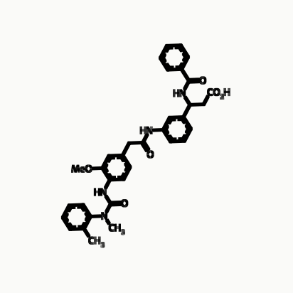 COc1cc(CC(=O)Nc2cccc(C(CC(=O)O)NC(=O)c3ccccc3)c2)ccc1NC(=O)N(C)c1ccccc1C